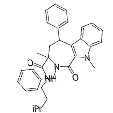 CC(C)CCNC(=O)C1(C)CC(c2ccccc2)c2c(n(C)c3ccccc23)C(=O)N1Cc1ccccc1